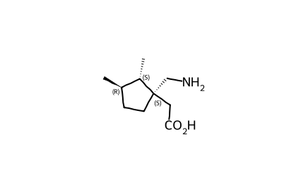 C[C@@H]1CC[C@](CN)(CC(=O)O)[C@H]1C